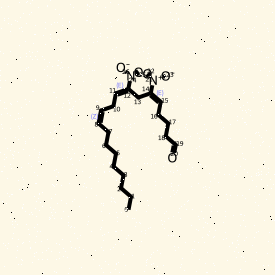 CCCCCCCC/C=C\C/C=C(\C/C(=C\CCC[C]=O)[N+](=O)[O-])[N+](=O)[O-]